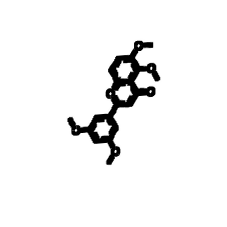 COc1cc(OC)cc(-c2cc(=O)c3c(OC)c(OC)ccc3o2)c1